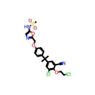 CC(C)(c1ccc(OCc2ncc(NS(C)(=O)=O)o2)cc1)c1cc(Cl)c(OCCCl)c(C#N)c1